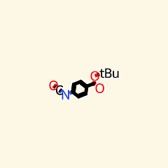 CC(C)(C)OC(=O)c1ccc(N=C=O)cc1